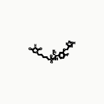 C[C@@H](NS(=O)(=O)CCCCCN1CC(=O)NC1=O)c1ccc(F)c(OCc2nn[nH]n2)c1